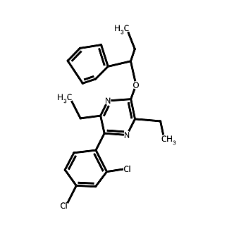 CCc1nc(-c2ccc(Cl)cc2Cl)c(CC)nc1OC(CC)c1ccccc1